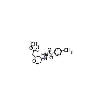 COC(=O)CC1C/C(=N\NS(=O)(=O)c2ccc(C)cc2)CCO1